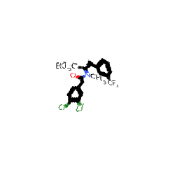 CCOC(=O)C(Cc1cccc(C(F)(F)F)c1)N(C)C(=O)Cc1ccc(Cl)c(Cl)c1